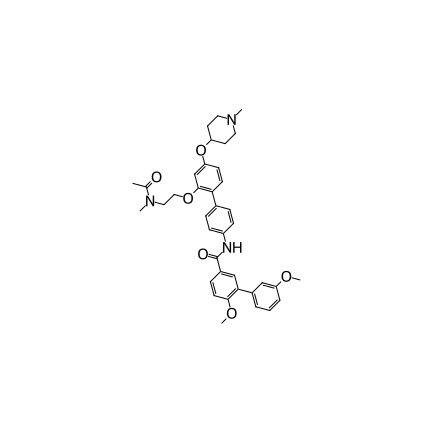 COc1cccc(-c2cc(C(=O)Nc3ccc(-c4ccc(OC5CCN(C)CC5)cc4OCCN(C)C(C)=O)cc3)ccc2OC)c1